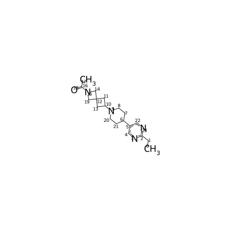 CCc1ncc(C2CCN(C3CC4(C3)CN(C(C)=O)C4)CC2)cn1